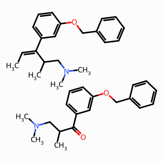 CC(CN(C)C)C(=O)c1cccc(OCc2ccccc2)c1.CC=C(c1cccc(OCc2ccccc2)c1)C(C)CN(C)C